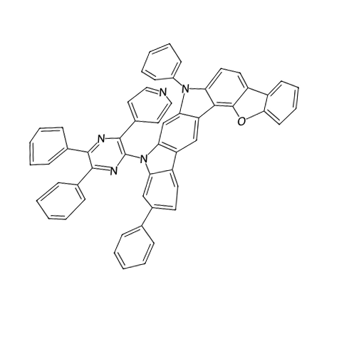 c1ccc(-c2ccc3c4cc5c6c7oc8ccccc8c7ccc6n(-c6ccccc6)c5cc4n(-c4nc(-c5ccccc5)c(-c5ccccc5)nc4-c4ccncc4)c3c2)cc1